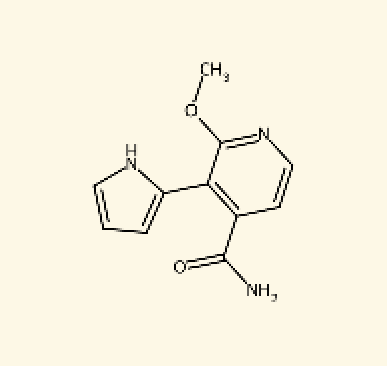 COc1nccc(C(N)=O)c1-c1ccc[nH]1